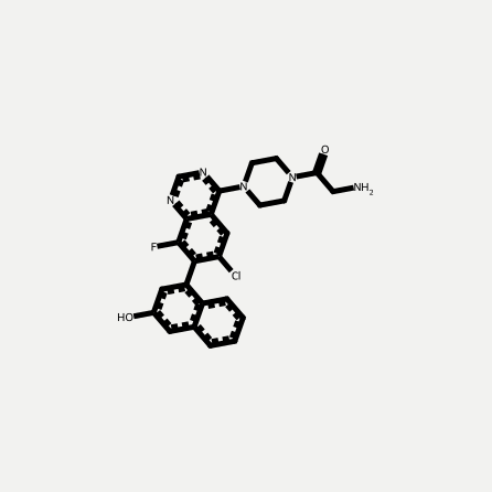 NCC(=O)N1CCN(c2ncnc3c(F)c(-c4cc(O)cc5ccccc45)c(Cl)cc23)CC1